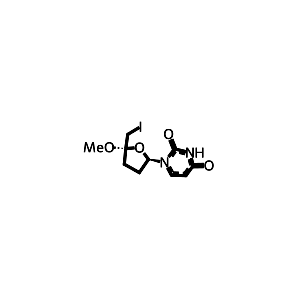 CO[C@@]1(CI)CC[C@H](n2ccc(=O)[nH]c2=O)O1